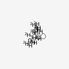 [2H]c1c([2H])c(C([2H])(C2(O)CCCCC2)C([2H])([2H])N(C)C([2H])([2H])[2H])c([2H])c([2H])c1OC([2H])([2H])[2H]